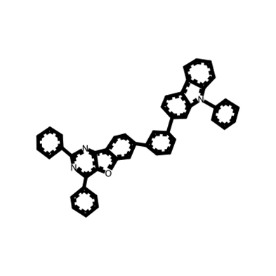 c1ccc(-c2nc(-c3ccccc3)c3oc4cc(-c5cccc(-c6ccc7c8ccccc8n(-c8ccccc8)c7c6)c5)ccc4c3n2)cc1